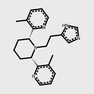 Cc1cccnc1[C@H]1CCC[C@@H](c2ncccc2C)N1CCc1cnc[nH]1